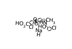 C[C@H](Cc1ccc(S(=O)(=O)c2ccc(C(=O)O)c(Cl)c2)cc1)NC[C@@H](O)c1cccc(Cl)c1.[NaH]